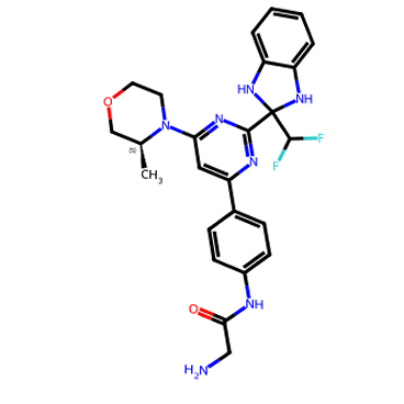 C[C@H]1COCCN1c1cc(-c2ccc(NC(=O)CN)cc2)nc(C2(C(F)F)Nc3ccccc3N2)n1